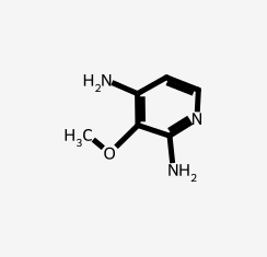 COc1c(N)ccnc1N